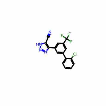 N#Cc1[nH]nnc1-c1cc(-c2ccccc2Cl)cc(C(F)(F)F)c1